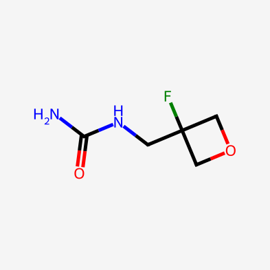 NC(=O)NCC1(F)COC1